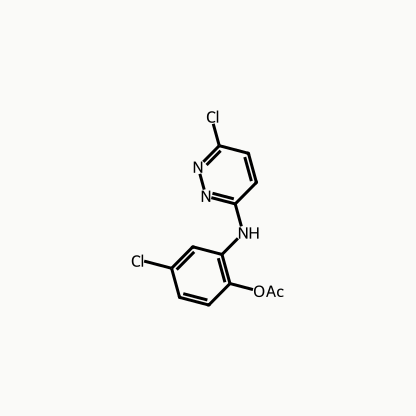 CC(=O)Oc1ccc(Cl)cc1Nc1ccc(Cl)nn1